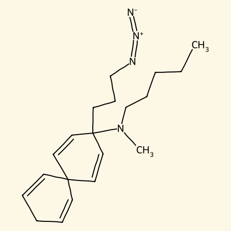 CCCCCN(C)C1(CCCN=[N+]=[N-])C=CC2(C=CCC=C2)C=C1